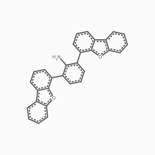 Nc1c(-c2cccc3c2oc2ccccc23)cccc1-c1cccc2c1oc1ccccc12